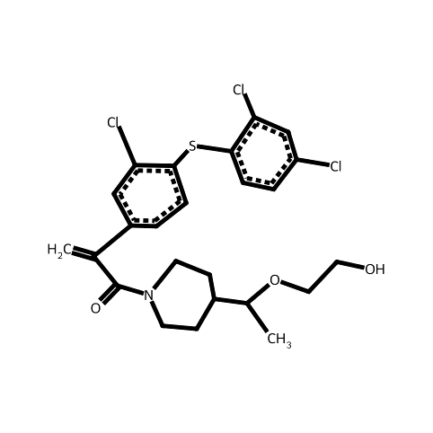 C=C(C(=O)N1CCC(C(C)OCCO)CC1)c1ccc(Sc2ccc(Cl)cc2Cl)c(Cl)c1